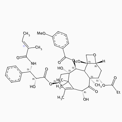 C/C=C(\C)C(=O)N[C@@H](c1ccccc1)[C@@H](O)C(=O)O[C@H]1C[C@@]2(O)[C@@H](OC(=O)c3cccc(OC)c3)C3[C@](C)(C(=O)[C@H](O)C(=C1C)C2(C)C)[C@@H](OC(=O)CC)C[C@H]1OC[C@@]31OC(C)=O